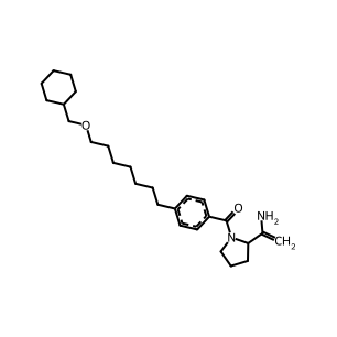 C=C(N)C1CCCN1C(=O)c1ccc(CCCCCCCOCC2CCCCC2)cc1